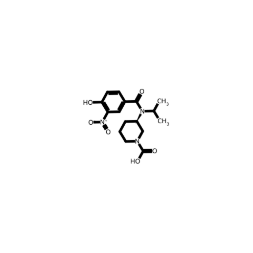 CC(C)N(C(=O)c1ccc(O)c([N+](=O)[O-])c1)[C@@H]1CCCN(C(=O)O)C1